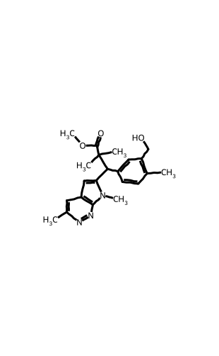 COC(=O)C(C)(C)C(c1ccc(C)c(CO)c1)c1cc2cc(C)nnc2n1C